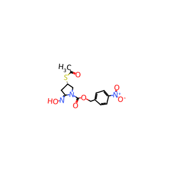 CC(=O)S[C@H]1CC(=NO)N(C(=O)OCc2ccc([N+](=O)[O-])cc2)C1